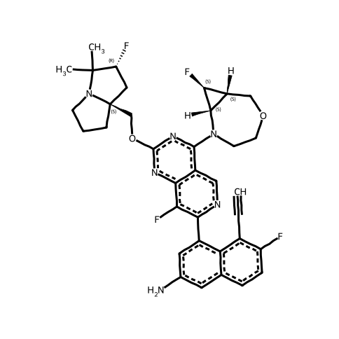 C#Cc1c(F)ccc2cc(N)cc(-c3ncc4c(N5CCOC[C@H]6[C@H](F)[C@H]65)nc(OC[C@@]56CCCN5C(C)(C)[C@H](F)C6)nc4c3F)c12